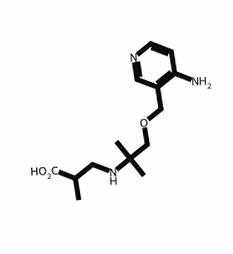 CC(CNC(C)(C)COCc1cnccc1N)C(=O)O